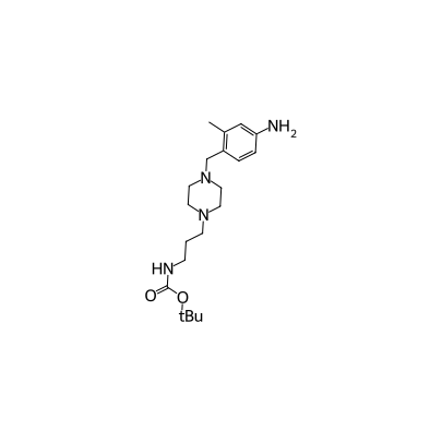 Cc1cc(N)ccc1CN1CCN(CCCNC(=O)OC(C)(C)C)CC1